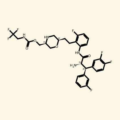 N[C@H](C(=O)Nc1cccc(F)c1CC[C@@H]1CN[C@H](COC(=O)NCC(F)(F)F)CO1)[C@H](c1cccc(F)c1)c1ccc(F)c(F)c1